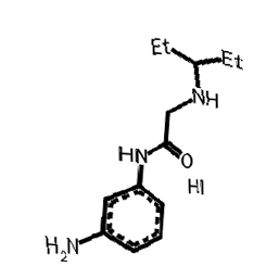 CCC(CC)NCC(=O)Nc1cccc(N)c1.I